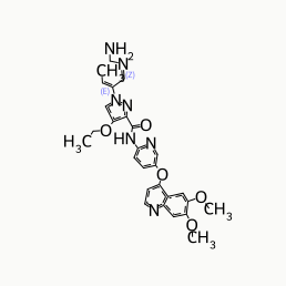 C/C=C(\C=N/CN)n1cc(OCC)c(C(=O)Nc2ccc(Oc3ccnc4cc(OC)c(OC)cc34)cn2)n1